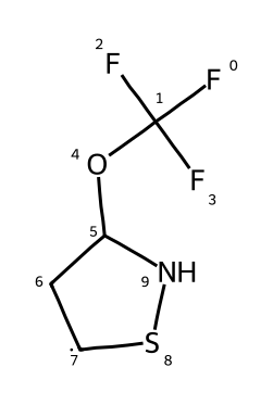 FC(F)(F)OC1C[CH]SN1